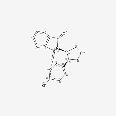 O=C1c2ccccc2C(=O)N1[C@H]1COC[C@H]1c1ccc(Cl)cc1